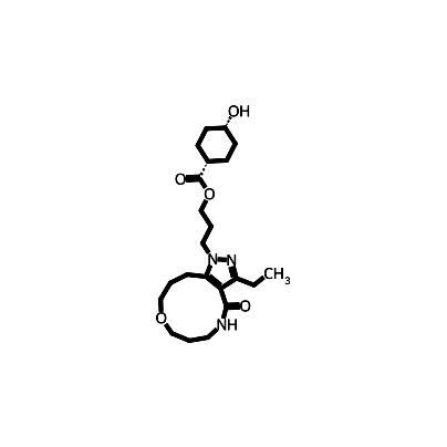 CCc1nn(CCCOC(=O)[C@H]2CC[C@@H](O)CC2)c2c1C(=O)NCCCOCCC2